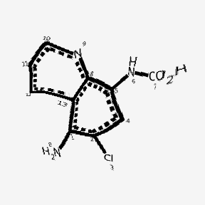 Nc1c(Cl)cc(NC(=O)O)c2ncccc12